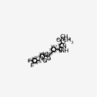 CN(C)C(=O)c1cnc2[nH]cc(-c3cccc(CNC(=O)c4cccn(Cc5ccc(F)c(F)c5)c4=O)c3)c2c1